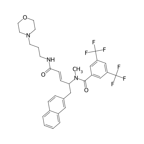 CN(C(=O)c1cc(C(F)(F)F)cc(C(F)(F)F)c1)C(C=CC(=O)NCCCN1CCOCC1)Cc1ccc2ccccc2c1